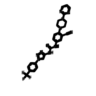 N#Cc1cc(NC(=O)Nc2cn(-c3ccc(C(F)(F)F)cc3)nn2)ccc1N1CCN(c2ncccn2)CC1